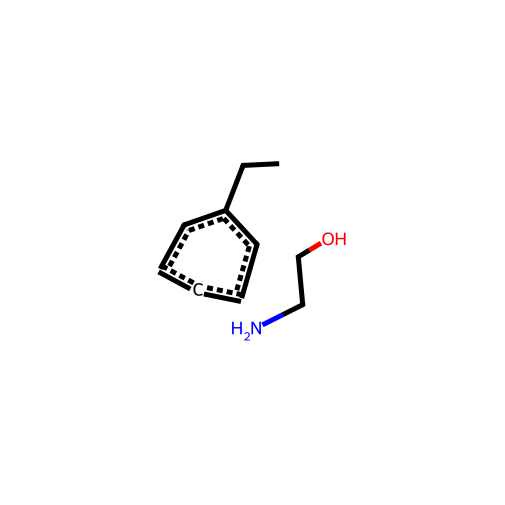 CCc1ccccc1.NCCO